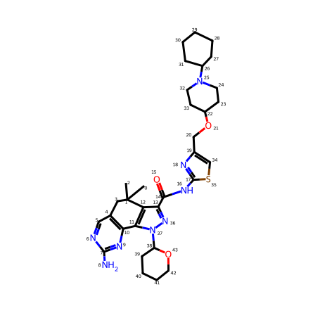 CC1(C)Cc2cnc(N)nc2-c2c1c(C(=O)Nc1nc(COC3CCN(C4CCCCC4)CC3)cs1)nn2C1CCCCO1